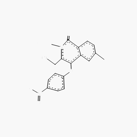 Cl.Cn1c(CN)c(Oc2ccc([N+](=O)[O-])cc2)c2cc(Cl)ccc2c1=O